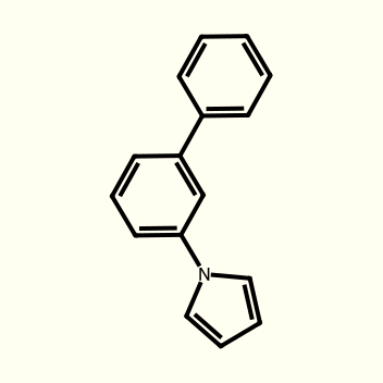 c1ccc(-c2cccc(-n3cccc3)c2)cc1